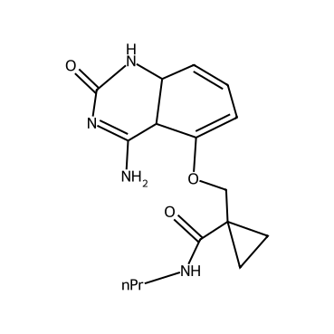 CCCNC(=O)C1(COC2=CC=CC3NC(=O)N=C(N)C23)CC1